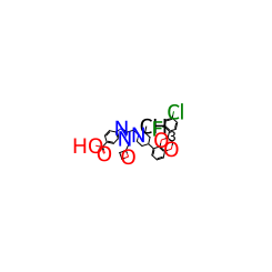 CC1CC(c2cccc3c2OC(c2ccc(Cl)cc2F)CO3)CCN1Cc1nc2ccc(C(=O)O)cc2n1CC1CCO1